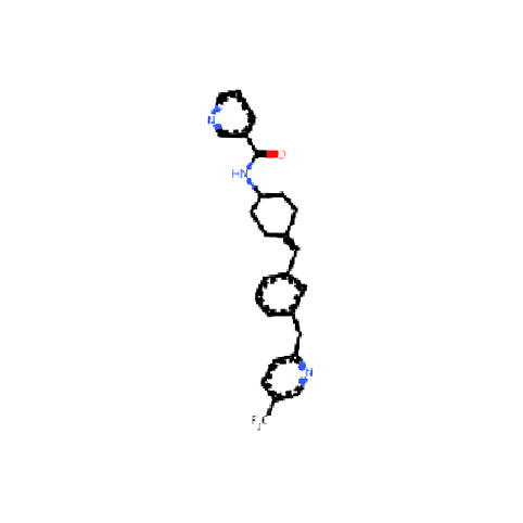 O=C(NC1CCC(=Cc2cccc(Cc3ccc(C(F)(F)F)cn3)c2)CC1)c1cccnc1